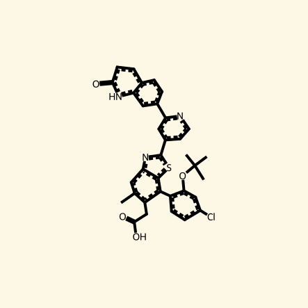 Cc1cc2nc(-c3ccnc(-c4ccc5ccc(=O)[nH]c5c4)c3)sc2c(-c2ccc(Cl)cc2OC(C)(C)C)c1CC(=O)O